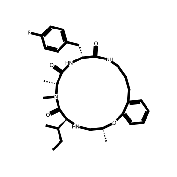 CCC(C)[C@@H]1NC[C@@H](C)Oc2ccccc2CCCNC(=O)[C@@H](Cc2ccc(F)cc2)NC(=O)[C@@H](C)N(C)C1=O